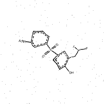 CC(=O)Nc1cc[c]c(S(=O)(=O)c2ccc(O)c(CC(F)F)c2)c1